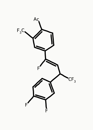 CC(=O)c1ccc(/C(F)=C/C(c2ccc(F)c(F)c2)C(F)(F)F)cc1C(F)(F)F